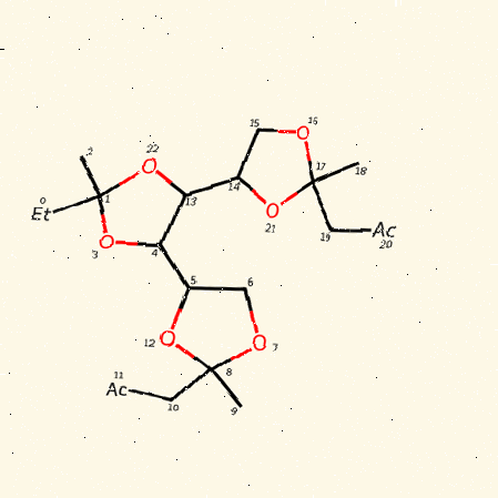 CCC1(C)OC(C2COC(C)(CC(C)=O)O2)C(C2COC(C)(CC(C)=O)O2)O1